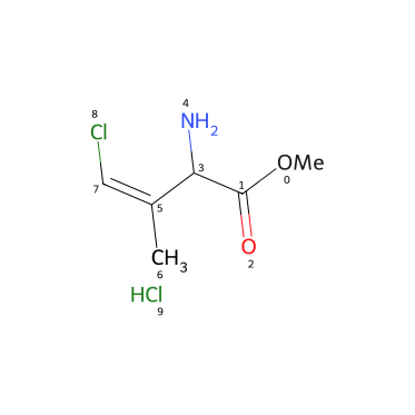 COC(=O)C(N)/C(C)=C\Cl.Cl